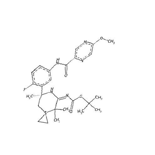 COc1cnc(C(=O)Nc2ccc(F)c([C@]3(C)CS4(CC4)C(C)(C)/C(=N\C(=O)OC(C)(C)C)N3)c2)cn1